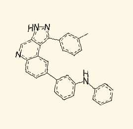 Cc1cccc(-c2n[nH]c3cnc4ccc(-c5cccc(Nc6ccccc6)c5)cc4c23)c1